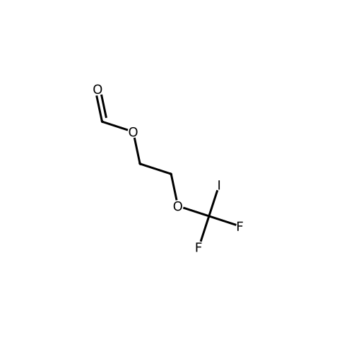 O=COCCOC(F)(F)I